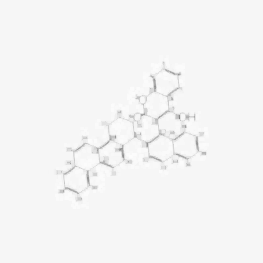 O=c1oc2ccccc2c(O)c1-c1c(C2CCCc3c2ccc2c3ccc3ccccc32)ccc2ccccc12